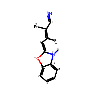 CC/C(C=N)=C(\C=C1\Oc2ccccc2N1C)CC